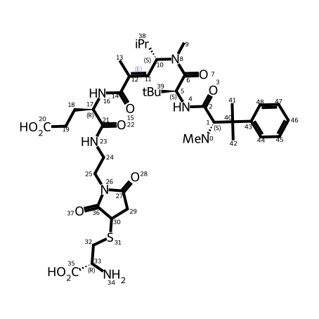 CN[C@H](C(=O)N[C@H](C(=O)N(C)[C@H](/C=C(\C)C(=O)N[C@H](CCC(=O)O)C(=O)NCCN1C(=O)CC(SC[C@H](N)C(=O)O)C1=O)C(C)C)C(C)(C)C)C(C)(C)c1ccccc1